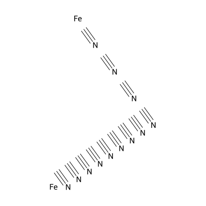 C#N.C#N.C#N.C#N.C#N.C#N.C#N.C#N.C#N.C#N.C#N.C#N.[Fe].[Fe]